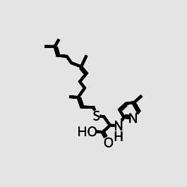 CC(C)=CCCC(C)=CCCC(C)=CCSCC(Nc1ccc(C)cn1)C(=O)O